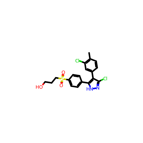 Cc1ccc(-c2c(Cl)n[nH]c2-c2ccc(S(=O)(=O)CCCO)cc2)cc1Cl